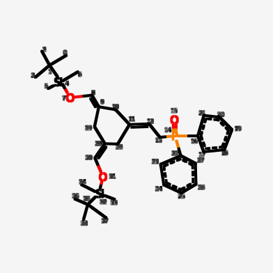 CC(C)(C)[Si](C)(C)O/C=C1/C/C(=C/CP(=O)(c2ccccc2)c2ccccc2)C/C(=C\O[Si](C)(C)C(C)(C)C)C1